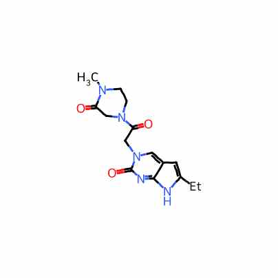 CCc1cc2cn(CC(=O)N3CCN(C)C(=O)C3)c(=O)nc2[nH]1